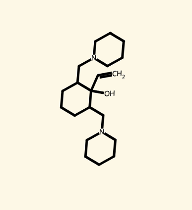 C=CC1(O)C(CN2CCCCC2)CCCC1CN1CCCCC1